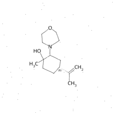 C=C(C)[C@@H]1CCC(C)(O)C(N2CCOCC2)C1